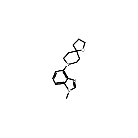 Cn1cnc2c(N3CCC4(CCCO4)CC3)cccc21